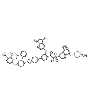 COc1cc(CN2CCN(C3CC4(CCN(c5ccc(C(=O)NS(=O)(=O)c6cnc(NC[C@H]7CC[C@](C)(O)CC7)c([NH+](C)[O-])c6)c(Oc6cnc7[nH]cc(F)c7c6)c5)CC4)C3)C(c3ccccc3C(C)C)C2)cnc1C1CC1